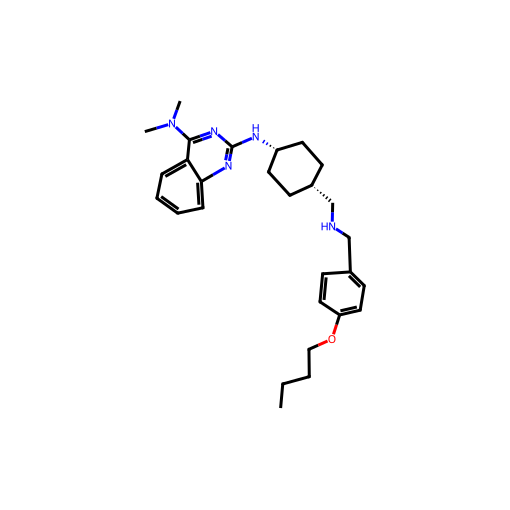 CCCCOc1ccc(CNC[C@H]2CC[C@@H](Nc3nc(N(C)C)c4ccccc4n3)CC2)cc1